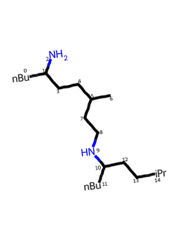 CCCCC(N)CCC(C)CCNC(CCCC)CCC(C)C